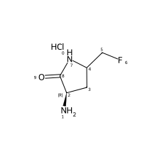 Cl.N[C@@H]1CC(CF)NC1=O